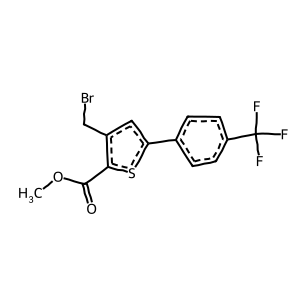 COC(=O)c1sc(-c2ccc(C(F)(F)F)cc2)cc1CBr